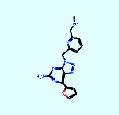 CNCc1cccc(Cn2nnc3c(-c4ccco4)nc(N)nc32)n1